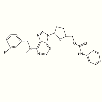 CN(Cc1cccc(F)c1)c1ncnc2c1ncn2C1CCC(COC(=O)Nc2ccccc2)O1